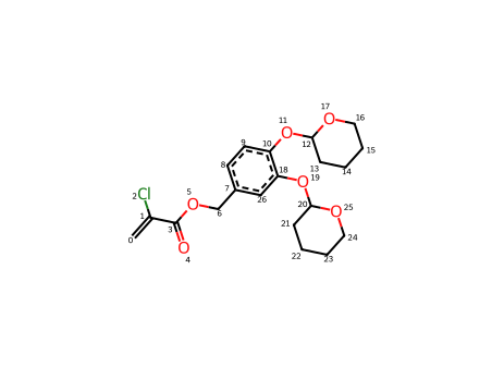 C=C(Cl)C(=O)OCc1ccc(OC2CCCCO2)c(OC2CCCCO2)c1